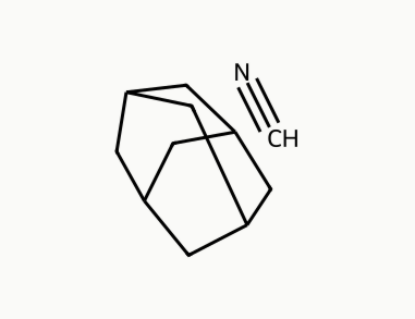 C#N.C1C2CC3CC1CC(C2)C3